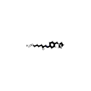 COCCCCC(=O)/C=C/c1ccc(Cn2ccnc2)cc1